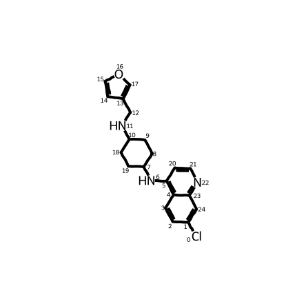 Clc1ccc2c(NC3CCC(NCc4ccoc4)CC3)ccnc2c1